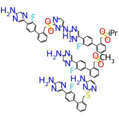 CC(C)S(=O)(=O)Cc1ccccc1-c1ccc(-c2cnc(N)cn2)c(F)c1.CS(=O)(=O)Cc1ccccc1-c1ccc(-c2cnc(N)cn2)c(F)c1.Nc1cnc(-c2ccc(-c3ccccc3CS(=O)(=O)c3ncccn3)cc2F)cn1.Nc1cnc(-c2ccc(-c3ccccc3CSc3nccc(N)n3)cc2F)cn1